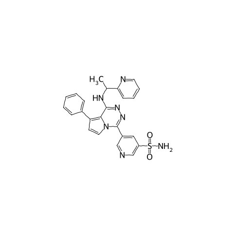 CC(Nc1nnc(-c2cncc(S(N)(=O)=O)c2)n2ccc(-c3ccccc3)c12)c1ccccn1